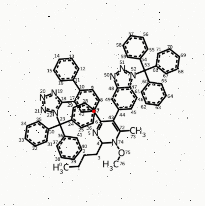 CCCCC1N=C(c2ccc(-c3ccccc3)c(-c3nnnn3C(c3ccccc3)(c3ccccc3)c3ccccc3)c2)C(c2ccc3c(c2)nnn3C(c2ccccc2)(c2ccccc2)c2ccccc2)=C(C)N1OC